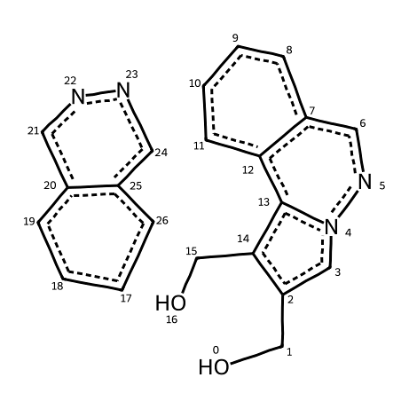 OCc1cn2ncc3ccccc3c2c1CO.c1ccc2cnncc2c1